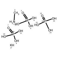 CN.O=P(O)(O)O.O=P(O)(O)O.O=P(O)(O)O.[KH]